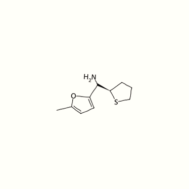 Cc1ccc(C(N)[C@H]2CCCS2)o1